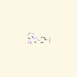 COc1ccc(-c2ccn(-c3ncccc3[N+](=O)[O-])n2)c(F)c1